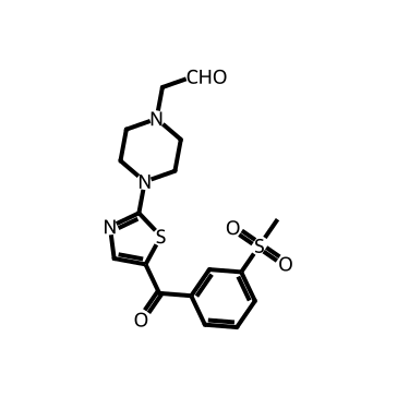 CS(=O)(=O)c1cccc(C(=O)c2cnc(N3CCN(CC=O)CC3)s2)c1